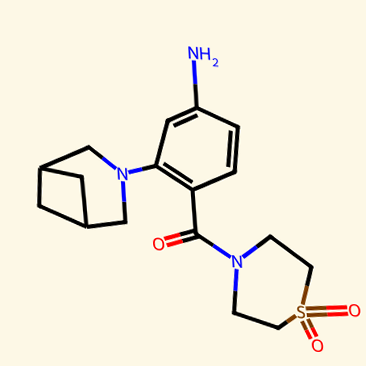 Nc1ccc(C(=O)N2CCS(=O)(=O)CC2)c(N2CC3CC(C3)C2)c1